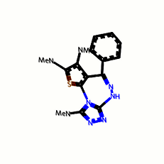 CNc1sc2c(c1NC)C(c1ccccc1)=NNc1nnc(NC)n1-2